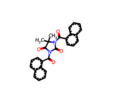 CC1(C)C(=O)N(C(=O)c2cccc3ccccc23)C(=O)N1C(=O)c1cccc2ccccc12